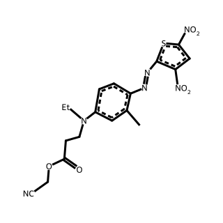 CCN(CCC(=O)OCC#N)c1ccc(/N=N/c2sc([N+](=O)[O-])cc2[N+](=O)[O-])c(C)c1